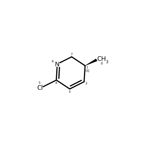 C[C@H]1C=CC(Cl)=NC1